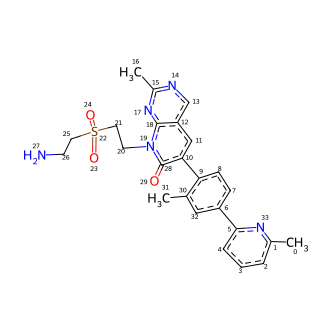 Cc1cccc(-c2ccc(-c3cc4cnc(C)nc4n(CCS(=O)(=O)CCN)c3=O)c(C)c2)n1